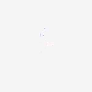 CCCCCCCN[N+](C)(C)C.O